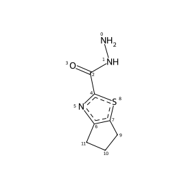 NNC(=O)c1nc2c(s1)CCC2